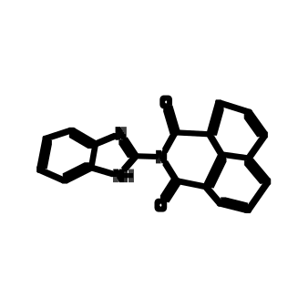 O=C1c2cccc3cccc(c23)C(=O)N1c1nc2ccccc2[nH]1